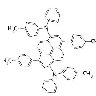 Cc1ccc(-c2cc(N(c3ccccc3)c3ccc(C)cc3)c3ccc4c(-c5ccc(C)cc5)cc(N(c5ccccc5)c5ccc(C)cc5)c5ccc2c3c45)cc1